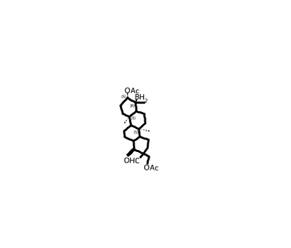 B[C@@]1(C)C2CC[C@@]3(C)C4CCC(C=O)(COC(C)=O)C(=C)C4CCC3[C@@]2(C)CC[C@@H]1OC(C)=O